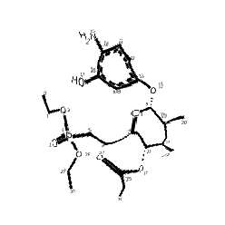 CCOP(=O)(CC[C@H]1O[C@H](Oc2ccc(N)c(O)c2)[C@@H](C)[C@@H](C)[C@@H]1OC(C)=O)OCC